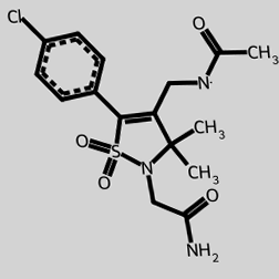 CC(=O)[N]CC1=C(c2ccc(Cl)cc2)S(=O)(=O)N(CC(N)=O)C1(C)C